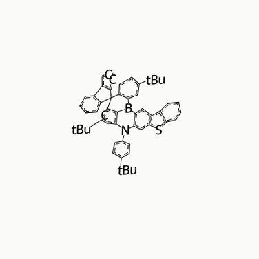 CC(C)(C)c1ccc(N2c3cc4sc5ccccc5c4cc3B3c4cc(C(C)(C)C)ccc4C4(c5ccccc5-c5ccccc54)c4cc(C(C)(C)C)cc2c43)cc1